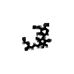 CSc1c(C#N)ccc(N2C(=O)C(C)(C)N(CCCC(=O)OCCl)C2=S)c1F